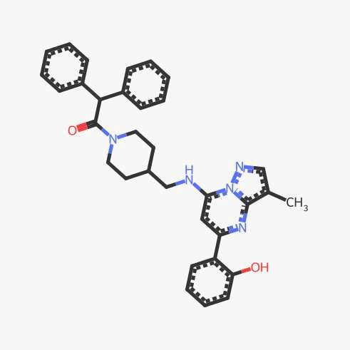 Cc1cnn2c(NCC3CCN(C(=O)C(c4ccccc4)c4ccccc4)CC3)cc(-c3ccccc3O)nc12